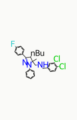 CCCCC1C(c2ccc(F)cc2)=NN(c2ccccc2)C1(C)CNCc1ccc(Cl)c(Cl)c1